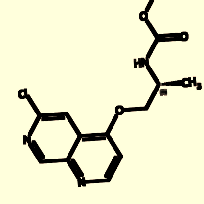 C[C@H](COc1ccnc2cnc(Cl)cc12)NC(=O)OC(C)(C)C